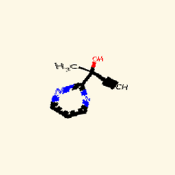 C#C[C@@](C)(O)c1ncccn1